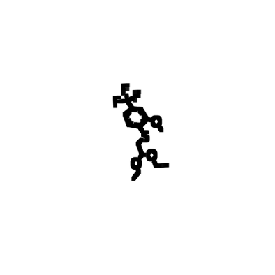 CCOC(CSc1ccc(C(F)(F)F)cc1OC)OCC